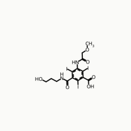 COCC(=O)Nc1c(I)c(C(=O)O)c(I)c(C(=O)NCCCO)c1I